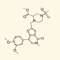 COC(=O)C1CN(S(C)(=O)=O)CCN1Cc1cc2c(=O)n(C)cc(-c3ccc(OC)c(OC)c3)c2s1